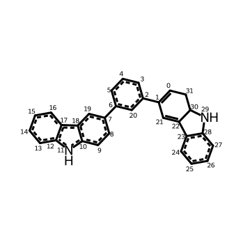 C1=C(c2cccc(-c3ccc4[nH]c5ccccc5c4c3)c2)C=C2c3ccccc3NC2C1